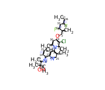 C=C(COC1=C(Cl)C(=C)N(c2cc(C(/C=C\C)=N/C(=C)C(C)(C)O)ncc2C)C(C)=C1)/C(F)=C\C(F)=C/C